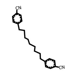 N#Cc1ccc(CCCCCCCCCc2ccc(C#N)cc2)cc1